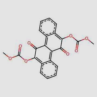 COC(=O)OC1=c2ccccc2=C2C(=O)C(OC(=O)OC)=c3ccccc3=C2C1=O